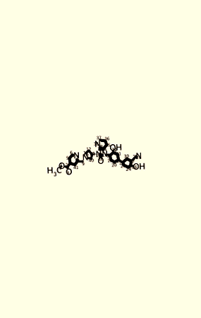 COC(=O)c1ccnc(CN2CC[C@H](n3c(=O)n(-c4ccc(-c5ccc(O)c(C#N)c5)cc4O)c4cccnc43)C2)c1